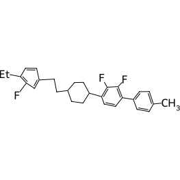 CCc1ccc(CCC2CCC(c3ccc(-c4ccc(C)cc4)c(F)c3F)CC2)cc1F